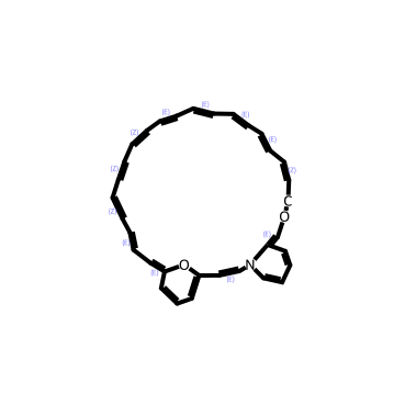 C1=C\C2=C/C=C/C=C\C=C/C=C\C=C\C=C\C=C\C=C\C=C/CO/C=C3\C=CC=CN3/C=C/C(=C1)O2